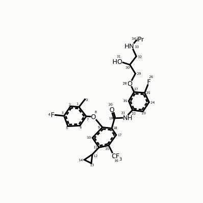 Cc1cc(F)ccc1Oc1cc(C2CC2)c(C(F)(F)F)cc1C(=O)Nc1ccc(F)c(OCC(O)CNC(C)C)c1